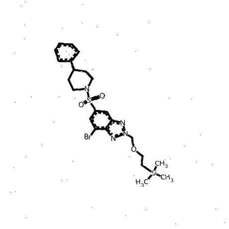 C[Si](C)(C)CCOCn1nc2cc(S(=O)(=O)N3CCC(c4ccccc4)CC3)cc(Br)c2n1